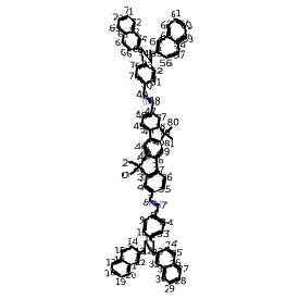 CC1(C)c2cc(/C=C/c3ccc(N(c4ccc5ccccc5c4)c4ccc5ccccc5c4)cc3)ccc2-c2cc3c(cc21)-c1ccc(/C=C/c2ccc(N(c4ccc5ccccc5c4)c4ccc5ccccc5c4)cc2)cc1C3(C)C